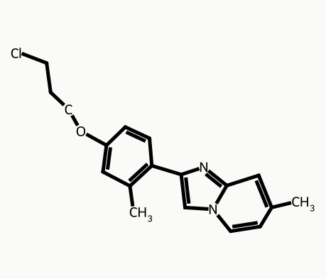 Cc1ccn2cc(-c3ccc(OCCCCl)cc3C)nc2c1